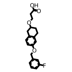 O=C(O)CCOC1CCc2cc(OCc3cccc(F)c3)ccc2C1